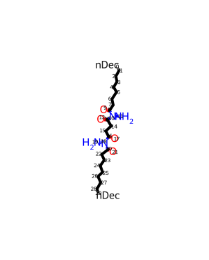 CCCCCCCCCCCCCCCCCC(=O)N(N)C(=O)CCC(=O)N(N)C(=O)CCCCCCCCCCCCCCCCC